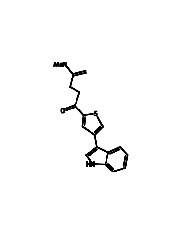 C=C(CCC(=O)c1cc(-c2c[nH]c3ccccc23)cs1)NC